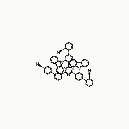 N#Cc1ccc(-c2cccc(-c3nc(-c4ccc(-c5ccccc5C#N)cc4-n4c5ccccc5c5ccccc54)nc(-c4ccc(-c5ccccc5C#N)cc4-n4c5ccccc5c5ccccc54)n3)c2)cc1